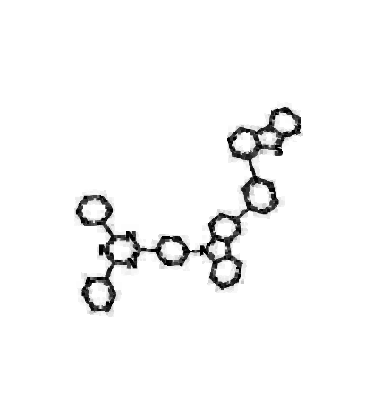 c1ccc(-c2nc(-c3ccccc3)nc(-c3ccc(-n4c5ccccc5c5cc(-c6cccc(-c7cccc8c7sc7ccccc78)c6)ccc54)cc3)n2)cc1